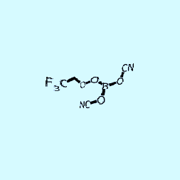 N#COB(OC#N)OOCC(F)(F)F